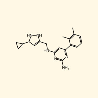 Cc1cccc(-c2cc(NCC3=CC(C4CC4)NN3)nc(N)n2)c1C